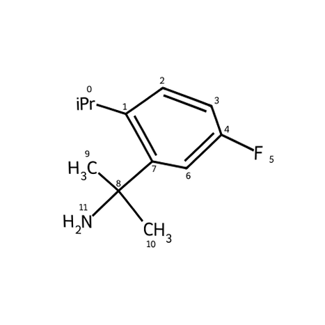 CC(C)c1ccc(F)cc1C(C)(C)N